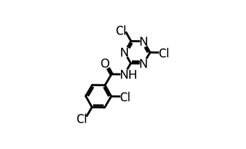 O=C(Nc1nc(Cl)nc(Cl)n1)c1ccc(Cl)cc1Cl